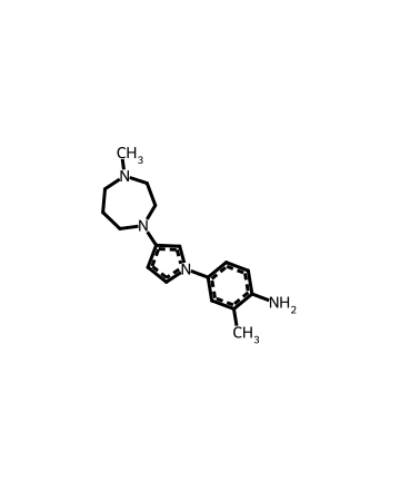 Cc1cc(-n2ccc(N3CCCN(C)CC3)c2)ccc1N